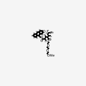 COCCOCCOCCOC(=O)C(C(C)CC(C(=O)O)C(C)C)C(C)C(C)C(=O)OCc1c2ccccc2cc2ccccc12